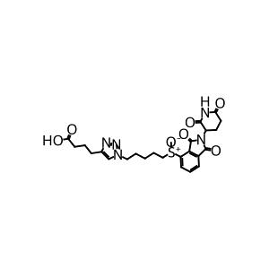 O=C(O)CCCc1cn(CCCCC[S+]([O-])c2cccc3c2C(=O)N(C2CCC(=O)NC2=O)C3=O)nn1